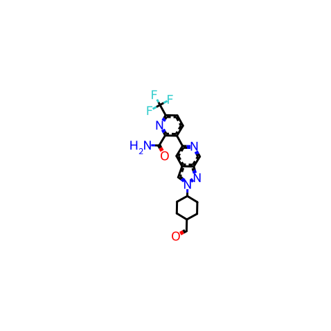 NC(=O)c1nc(C(F)(F)F)ccc1-c1cc2cn(C3CCC(C=O)CC3)nc2cn1